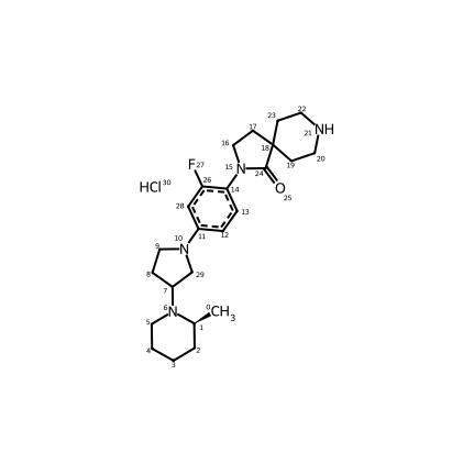 C[C@H]1CCCCN1C1CCN(c2ccc(N3CCC4(CCNCC4)C3=O)c(F)c2)C1.Cl